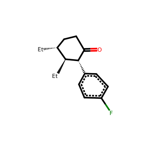 CC[C@@H]1CCC(=O)[C@H](c2ccc(F)cc2)[C@H]1CC